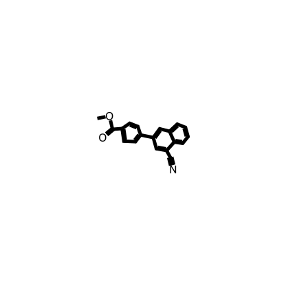 COC(=O)c1ccc(-c2cc(C#N)c3ccccc3c2)cc1